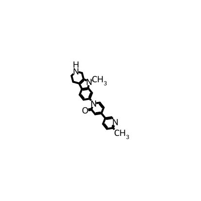 Cc1ccc(-c2ccn(-c3ccc4c5c(n(C)c4c3)CNCC5)c(=O)c2)cn1